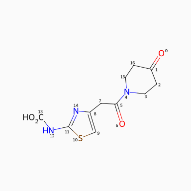 O=C1CCN(C(=O)Cc2csc(NC(=O)O)n2)CC1